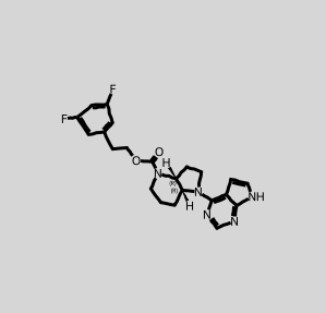 O=C(OCCc1cc(F)cc(F)c1)N1CCC[C@@H]2[C@H]1CCN2c1ncnc2[nH]ccc12